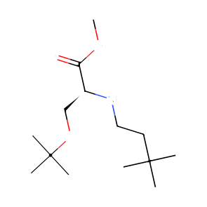 COC(=O)[C@H](COC(C)(C)C)NCCC(C)(C)C